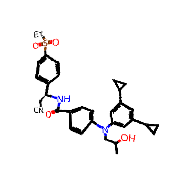 CCS(=O)(=O)c1ccc([C@H](CC#N)NC(=O)c2ccc(N(CC(C)O)c3cc(C4CC4)cc(C4CC4)c3)cc2)cc1